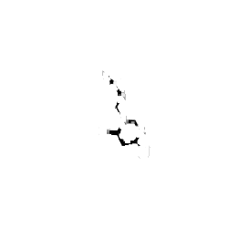 [N-]=[N+]=NCn1cnc(Cl)cc1=O